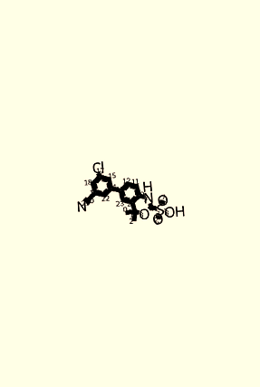 CC1(C)OC(S(=O)(=O)O)Nc2ccc(-c3cc(Cl)cc(C#N)c3)cc21